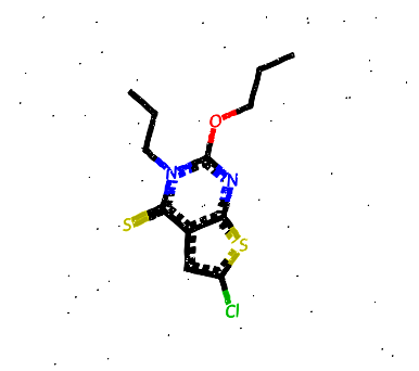 CCCOc1nc2sc(Cl)cc2c(=S)n1CCC